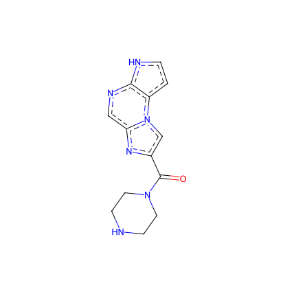 O=C(c1cn2c(cnc3[nH]ccc32)n1)N1CCNCC1